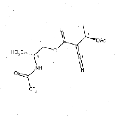 CC(=O)O[C@H](C)C(=[N+]=[N-])C(=O)OC[C@H](NC(=O)C(F)(F)F)C(=O)O